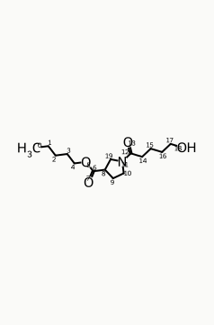 CCCCCOC(=O)C1CCN(C(=O)CCCCO)C1